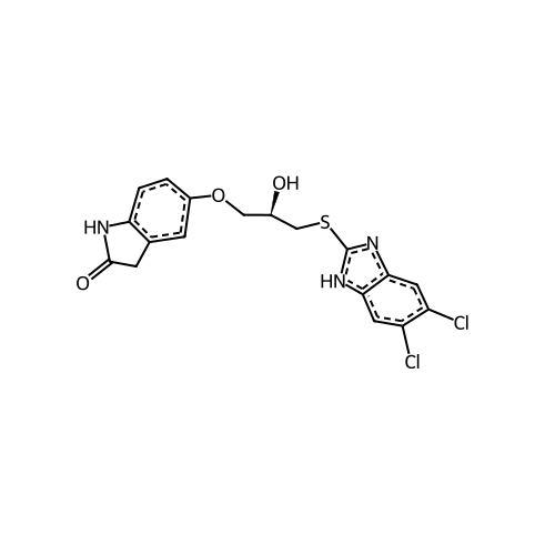 O=C1Cc2cc(OC[C@@H](O)CSc3nc4cc(Cl)c(Cl)cc4[nH]3)ccc2N1